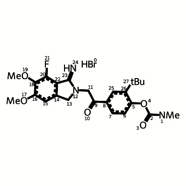 Br.CNC(=O)Oc1ccc(C(=O)CN2Cc3cc(OC)c(OC)c(F)c3C2=N)cc1C(C)(C)C